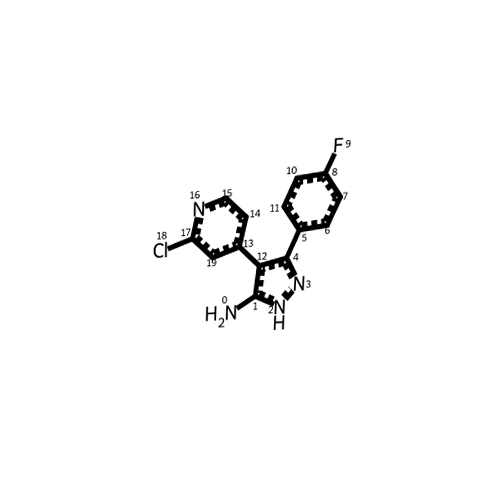 Nc1[nH]nc(-c2ccc(F)cc2)c1-c1ccnc(Cl)c1